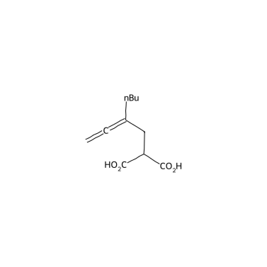 C=C=C(CCCC)CC(C(=O)O)C(=O)O